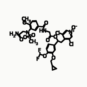 COc1ccc(C(=O)NCC(=O)OC(Cc2c(Cl)c[n+]([O-])cc2Cl)c2ccc(OC(F)F)c(OCC3CC3)c2)cc1N(CC(N)=O)S(C)(=O)=O